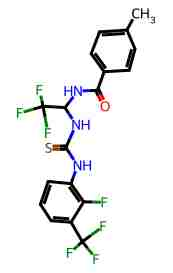 Cc1ccc(C(=O)NC(NC(=S)Nc2cccc(C(F)(F)F)c2F)C(F)(F)F)cc1